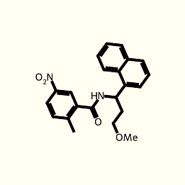 COCCC(NC(=O)c1cc([N+](=O)[O-])ccc1C)c1cccc2ccccc12